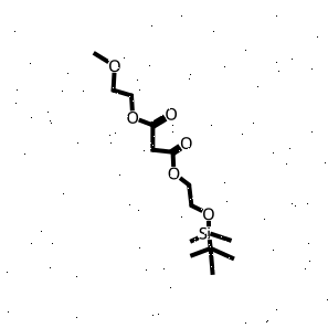 COCCOC(=O)CC(=O)OCCO[Si](C)(C)C(C)(C)C